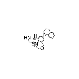 c1ccc2c(c1)CCCN2c1cc2c3c(c1)[C@@H]1CNCC[C@@H]1N3CCOC2